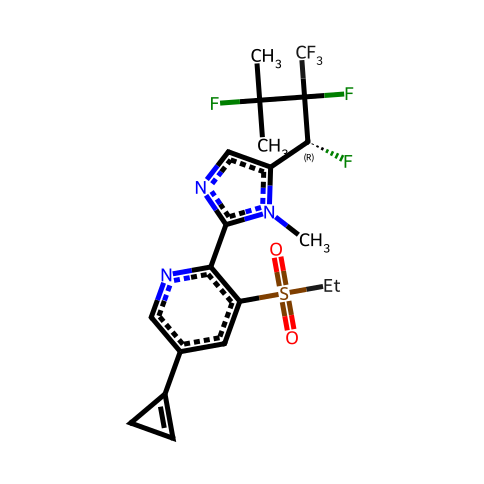 CCS(=O)(=O)c1cc(C2=CC2)cnc1-c1ncc([C@@H](F)C(F)(C(C)(C)F)C(F)(F)F)n1C